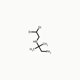 CCC(CC)CNC(C)(C)CP